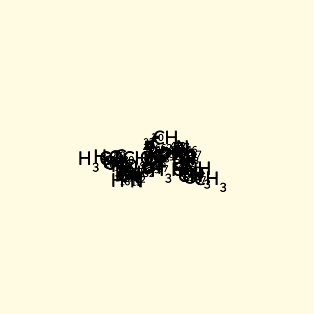 CCc1ccc(C2Oc3cc(-c4cnc([C@@H]5CCCN5C(=O)[C@@H](NC(=O)OC)C(C)C)[nH]4)ccc3-c3c(F)c4cc(-c5cnc([C@@H]6CCCN6C(=O)[C@@H](NC(=O)OC)C(C)C)[nH]5)ccc4n32)s1